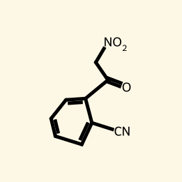 N#Cc1ccccc1C(=O)C[N+](=O)[O-]